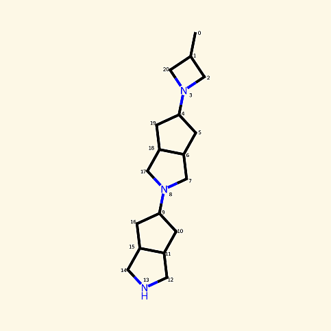 CC1CN(C2CC3CN(C4CC5CNCC5C4)CC3C2)C1